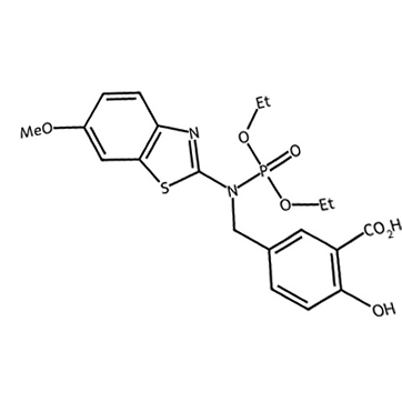 CCOP(=O)(OCC)N(Cc1ccc(O)c(C(=O)O)c1)c1nc2ccc(OC)cc2s1